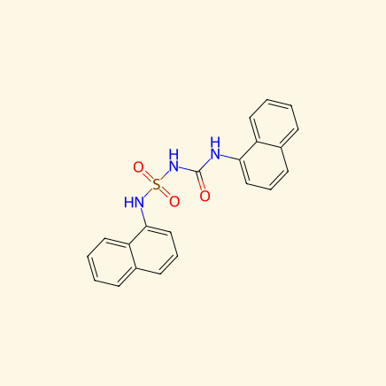 O=C(Nc1cccc2ccccc12)NS(=O)(=O)Nc1cccc2ccccc12